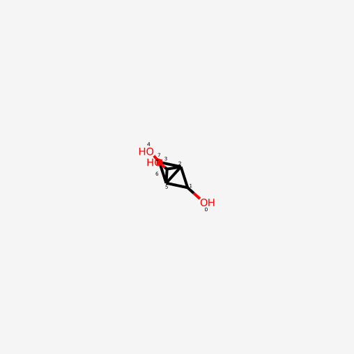 OC1C23C(O)C12C3O